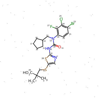 CC(C)(CSc1cnc(NC(=O)N(CC2CCCC2)c2ccc(Br)c(Cl)c2F)s1)C(=O)O